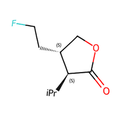 CC(C)[C@@H]1C(=O)OC[C@H]1CCF